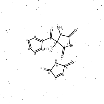 NC1C(=O)NC(=O)C1(C(=O)c1ccccc1)S(=O)(=O)O.O=C1C=CC(=O)N1